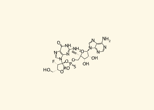 C#C[C@]1(COP(O)(=S)O[C@@]2(n3cnc4c(=O)[nH]c(N)nc43)CO[C@H](CO)[C@@H]2F)O[C@@H](n2cnc3c(N)ncnc32)[C@H](O)[C@@H]1O